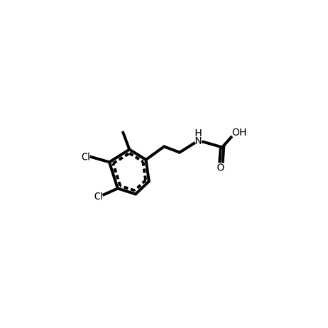 Cc1c(CCNC(=O)O)ccc(Cl)c1Cl